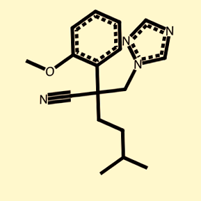 COc1ccccc1C(C#N)(CCC(C)C)Cn1cncn1